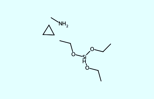 C1CC1.CCO[SiH](OCC)OCC.CN